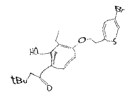 Cc1c(OCc2cc(Br)cs2)ccc(C(=O)CC(C)(C)C)c1O